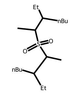 CCCCC(CC)C(C)S(=O)(=O)C(C)C(CC)CCCC